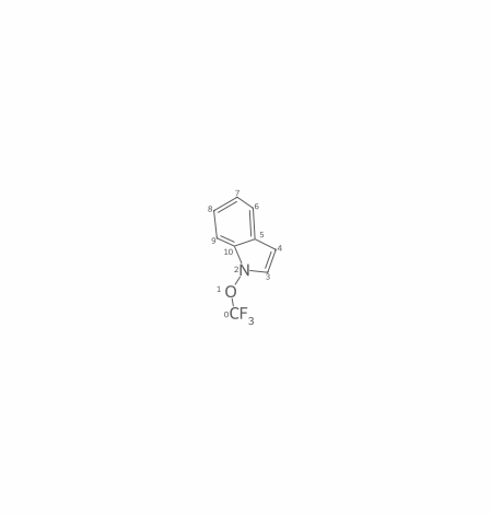 FC(F)(F)On1ccc2ccccc21